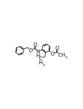 CCc1c(NC(=O)OCc2ccccc2)cccc1OC(C)=O